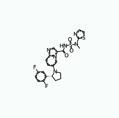 CN(c1nccs1)S(=O)(=O)NC(=O)c1cnc2ccc(N3CCC[C@@H]3c3cc(F)ccc3F)cn12